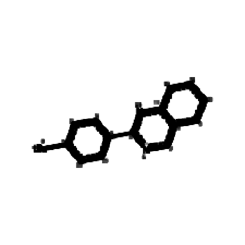 CC(C)(C)c1ccc(-c2ncc3ccccc3n2)cc1